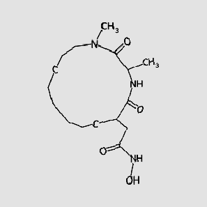 CC1NC(=O)C(CC(=O)NO)CCCCCCCCN(C)C1=O